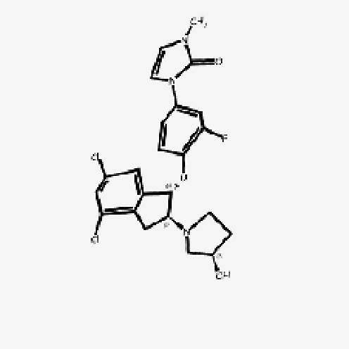 Cn1ccn(-c2ccc(O[C@H]3c4cc(Cl)cc(Cl)c4C[C@@H]3N3CC[C@@H](O)C3)c(F)c2)c1=O